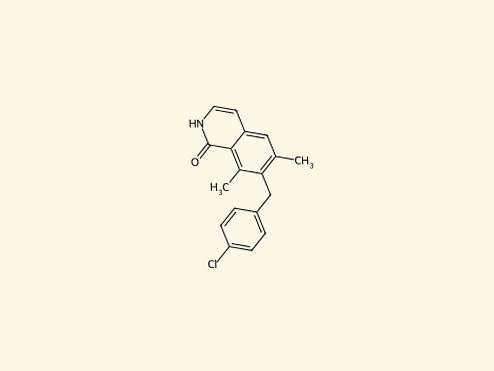 Cc1cc2cc[nH]c(=O)c2c(C)c1Cc1ccc(Cl)cc1